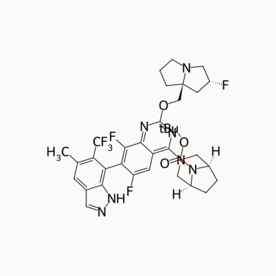 Cc1cc2cn[nH]c2c(-c2c(F)cc3c(N4C[C@H]5CC[C@@H](C4)N5C(=O)OC(C)(C)C)nc(OC[C@@]45CCCN4C[C@H](F)C5)nc3c2F)c1C(F)(F)F